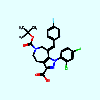 CC(C)(C)OC(=O)N1CCc2c(C(=O)O)nn(-c3ccc(Cl)cc3Cl)c2/C(=C/c2ccc(F)cc2)C1